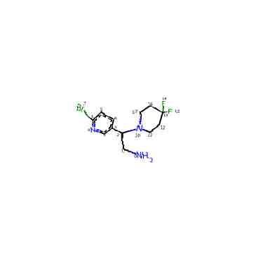 NCC(c1ccc(Br)nc1)N1CCC(F)(F)CC1